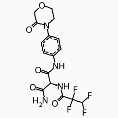 NC(=O)[C@H](NC(=O)C(F)(F)C(F)F)C(=O)Nc1ccc(N2CCOCC2=O)cc1